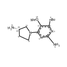 CCCCc1nc(N)nc(N2CC[C@H](N)C2)c1OC